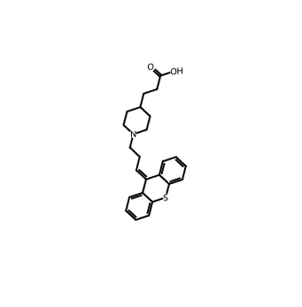 O=C(O)CCC1CCN(CCC=C2c3ccccc3Sc3ccccc32)CC1